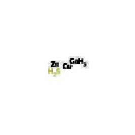 S.[Cu].[GaH3].[Zn]